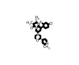 Cc1cc([C@H]2CN(c3cc(-c4ccc(Cl)cc4F)c4nc(C)c(C)c(=O)n4c3)CCO2)ccn1